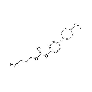 CCCCOC(=O)Oc1ccc(C2=CCC(C)CC2)cc1